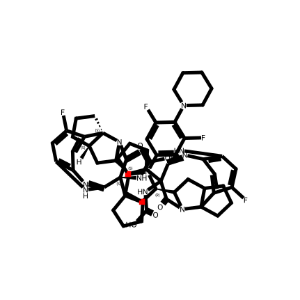 O=C(O)NC1(C2CCCC2)C(=O)N2C([C@H]3CC[C@@H](C4C[C@@H]5CCC[C@@]56c5cc7nc([nH]c7cc5F)[C@@](NC(=O)O)(C5CCCC5)C(=O)N46)N3c3cc(F)c(N4CCCCC4)c(F)c3)CC3CCCC32c2cc3nc1[nH]c3cc2F